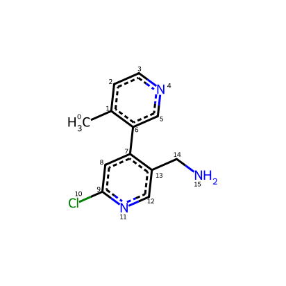 Cc1ccncc1-c1cc(Cl)ncc1CN